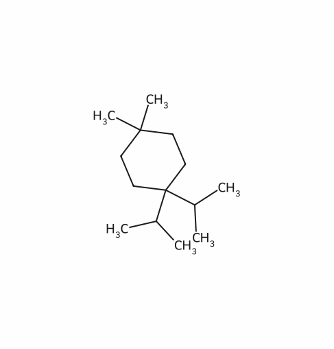 CC(C)C1(C(C)C)CCC(C)(C)CC1